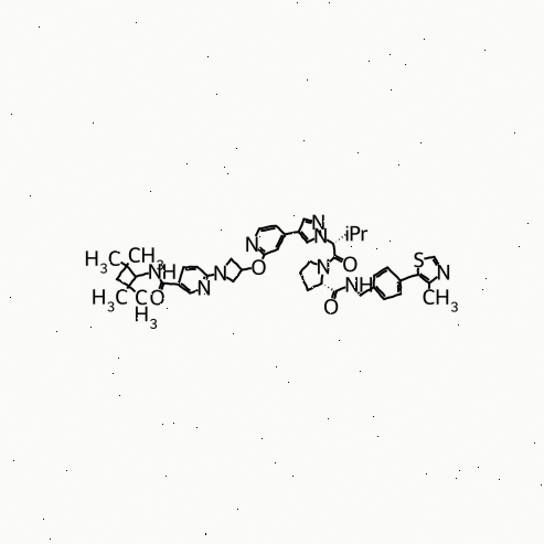 Cc1ncsc1-c1ccc(CNC(=O)[C@@H]2CCCN2C(=O)[C@@H](C(C)C)n2cc(-c3ccnc(OC4CN(c5ccc(C(=O)NC6C(C)(C)CC6(C)C)cn5)C4)c3)cn2)cc1